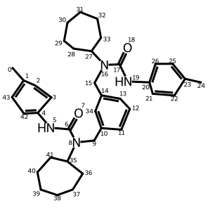 Cc1ccc(NC(=O)N(Cc2cccc(CN(C(=O)Nc3ccc(C)cc3)C3CCCCCC3)c2)C2CCCCCC2)cc1